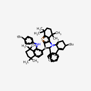 CC=C(C1B(c2ccc3c(c2Nc2ccc(C(C)(C)C)cc2)C(C)(C)CCC3(C)C)c2sc3c(c2N1C1=CCC(C(C)(C)C)C=C1c1ccccc1)C(C)(C)CCC3(C)C)C(C)(C)C